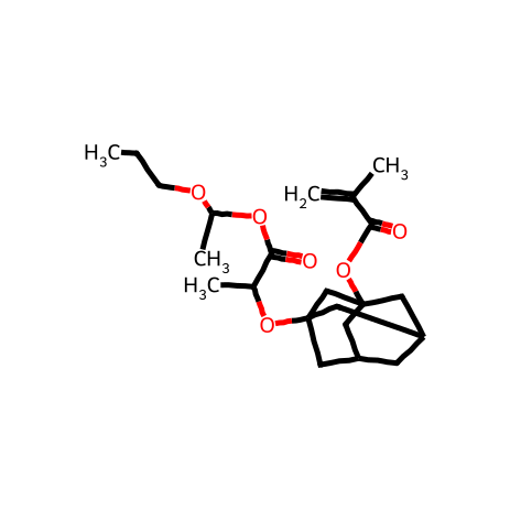 C=C(C)C(=O)OC12CC3CC(C1)CC(OC(C)C(=O)OC(C)OCCC)(C3)C2